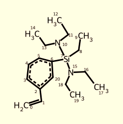 C=Cc1cccc([Si](CC)(N(CC)CC)N(CC)CC)c1